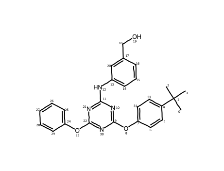 CC(C)(C)c1ccc(Oc2nc(Nc3cccc(CO)c3)nc(Oc3ccccc3)n2)cc1